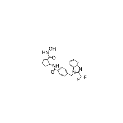 O=C(N[C@H]1CCC[C@H]1C(=O)NO)c1ccc(Cn2c(C(F)F)nc3ccccc32)cc1